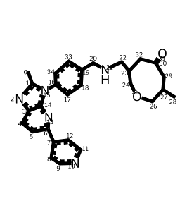 Cc1nc2ccc(-c3ccncc3)nc2n1-c1ccc(CNCC2COCC(C)CC(=O)C2)cc1